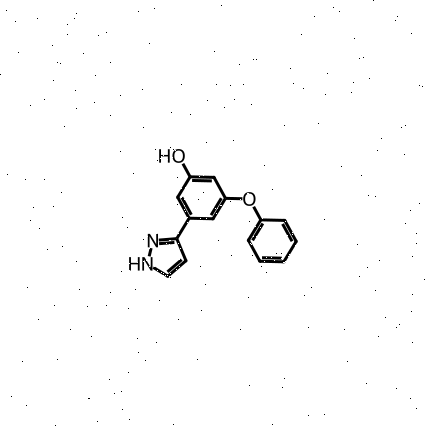 Oc1cc(Oc2ccccc2)cc(-c2cc[nH]n2)c1